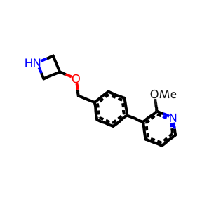 COc1ncccc1-c1ccc(COC2CNC2)cc1